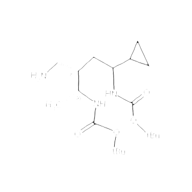 C[C@@H](NC(=O)OC(C)(C)C)[C@H](CN)CC(NC(=O)OC(C)(C)C)C1CC1